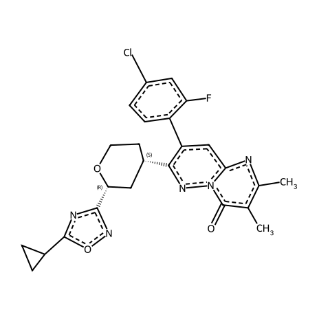 Cc1nc2cc(-c3ccc(Cl)cc3F)c([C@H]3CCO[C@@H](c4noc(C5CC5)n4)C3)nn2c(=O)c1C